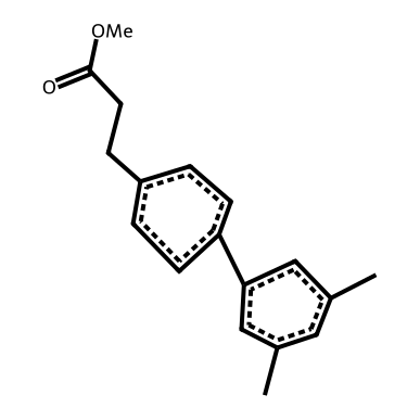 COC(=O)CCc1ccc(-c2cc(C)cc(C)c2)cc1